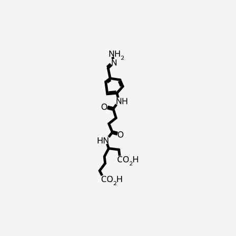 NN=Cc1ccc(NC(=O)CCC(=O)NC(CCCC(=O)O)CC(=O)O)cc1